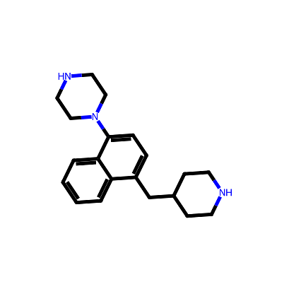 c1ccc2c(N3CCNCC3)ccc(CC3CCNCC3)c2c1